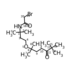 CC(C)(CCOC(C)(C)CCC(=O)C(C)(C)C)NC(=O)CBr